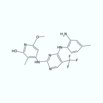 COc1cc(Nc2ncc(C(F)(F)F)c(Nc3ccc(C)cc3N)n2)c(C)c(O)n1